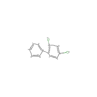 Clc1ccc(-c2cc[c]cc2)c(Cl)c1